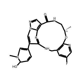 C[C@H]1CNC(=O)c2cnn3cc(C4=CN(C)C(O)C=C4)c(nc23)NCc2cc(F)cnc2O1